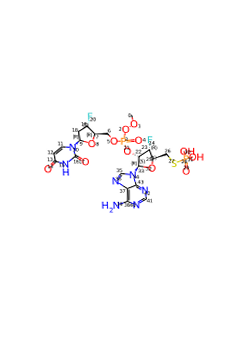 COOP(=O)(OC[C@H]1O[C@@H](n2ccc(=O)[nH]c2=O)C[C@@H]1F)O[C@@H]1[C@H](F)[C@@H](CSP(=O)(O)O)O[C@H]1n1cnc2c(N)ncnc21